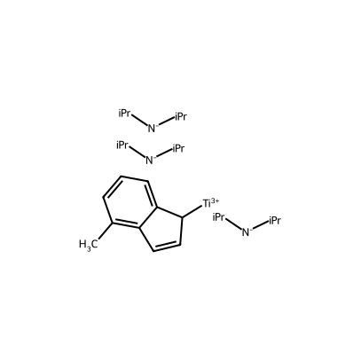 CC(C)[N-]C(C)C.CC(C)[N-]C(C)C.CC(C)[N-]C(C)C.Cc1cccc2c1C=C[CH]2[Ti+3]